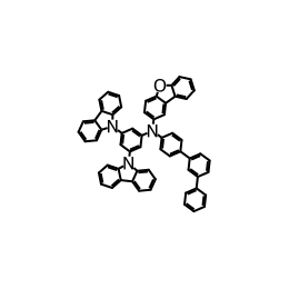 c1ccc(-c2cccc(-c3ccc(N(c4cc(-n5c6ccccc6c6ccccc65)cc(-n5c6ccccc6c6ccccc65)c4)c4ccc5oc6ccccc6c5c4)cc3)c2)cc1